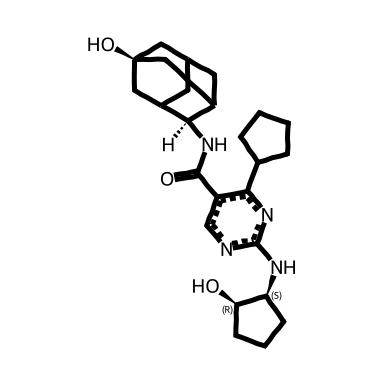 O=C(N[C@H]1C2CC3CC1C[C@@](O)(C3)C2)c1cnc(N[C@H]2CCC[C@H]2O)nc1C1CCCC1